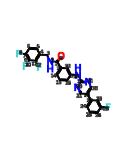 O=C(NCc1ccc(F)c(F)c1F)c1cccc(Nc2ncc(-c3cccc(F)c3)cn2)c1